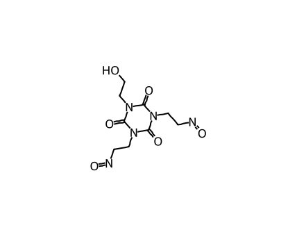 O=NCCn1c(=O)n(CCO)c(=O)n(CCN=O)c1=O